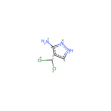 ClCCl.Nc1cc[nH]n1